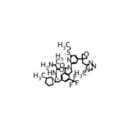 CCSc1cc(C2(Cc3nncn3C)COC2)cc(N2Cc3c(cc(C[N+]4(CNC(=O)C(C)N)CCCC(C)C4)cc3C(F)(F)F)C2=O)n1